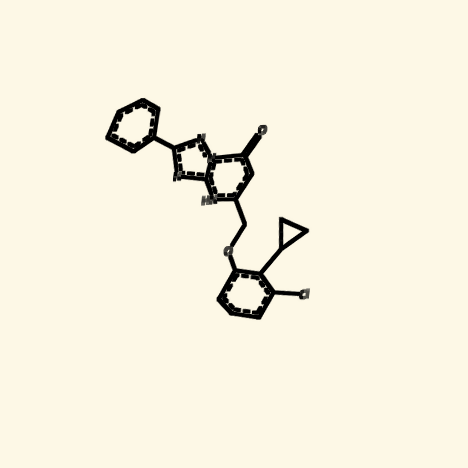 O=c1cc(COc2cccc(Cl)c2C2CC2)[nH]c2nc(-c3ccccc3)nn12